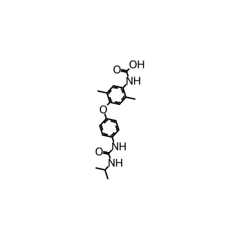 Cc1cc(Oc2ccc(NC(=O)NC(C)C)cc2)c(C)cc1NC(=O)O